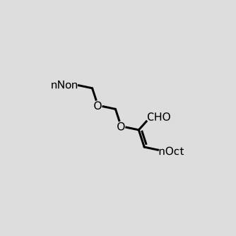 CCCCCCCC/C=C(\C=O)OCOCCCCCCCCCC